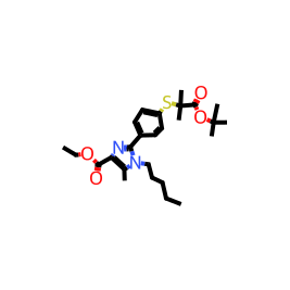 CCCCCn1c(-c2ccc(SC(C)(C)C(=O)OC(C)(C)C)cc2)nc(C(=O)OCC)c1C